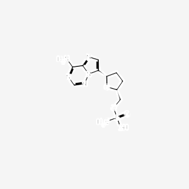 CP(=O)(O)OC[C@@H]1CC[C@H](c2cnc3c(N)ncnn23)O1